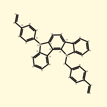 C=Cc1ccc(Cn2c3ccccc3c3ccc4c(c5ccccc5n4-c4ccc(C=C)cc4)c32)cc1